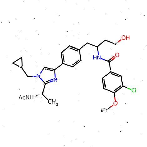 CC(=O)N[C@@H](C)c1nc(-c2ccc(CC(CCO)NC(=O)c3ccc(OC(C)C)c(Cl)c3)cc2)cn1CC1CC1